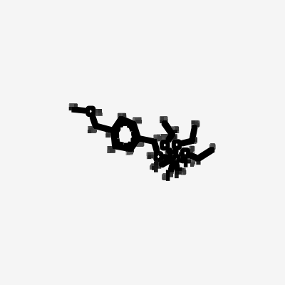 CC[O][Zr]([F])([F])([F])([F])([O]CC)([O]CC)[O]Cc1ccc(COC)cc1